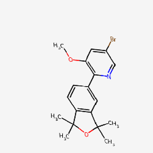 COc1cc(Br)cnc1-c1ccc2c(c1)C(C)(C)OC2(C)C